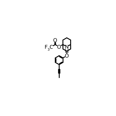 CC#Cc1cccc(OC2CC3CCCC(OC(=O)C(F)(F)F)(C2)N3)c1